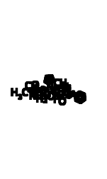 CC(C)C(C(O)C(F)(F)C(=O)NCCc1ccccc1)N(C(=O)CNC(=O)[C@@H](N)C(C)C)C1CCCC1